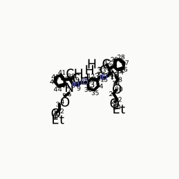 CCOCCOCCN1/C(=C/C=C2C=C(/C=C/C3=[N+](CCOCCOCC)c4ccccc4C3(C)C)CCC/2)C(C)(C)c2ccccc21